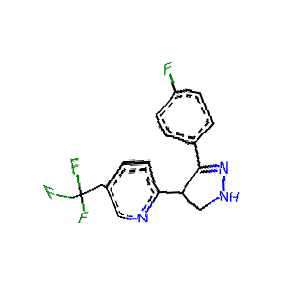 Fc1ccc(C2=NNCC2c2ccc(C(F)(F)F)cn2)cc1